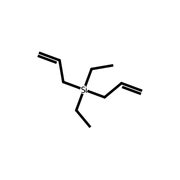 C=CC[Si](CC)(CC)CC=C